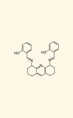 Oc1ccccc1/C=N/C1CCCc2cc3c(nc21)C(/N=C/c1ccccc1O)CCC3